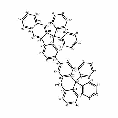 c1ccc(C2(c3ccccc3)c3ccccc3Oc3cc(-c4ccc5c(c4)C(c4ccccc4)(c4ccccc4)c4cc6ccccc6cc4-5)ccc32)cc1